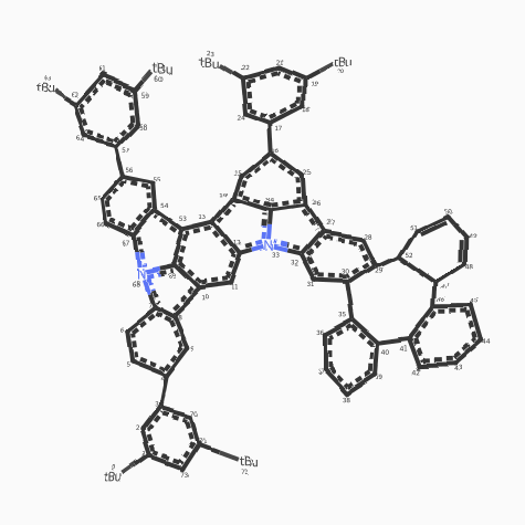 CC(C)(C)c1cc(-c2ccc3c(c2)c2cc4c(c5cc(-c6cc(C(C)(C)C)cc(C(C)(C)C)c6)cc6c7cc8c(cc7n4c65)-c4ccccc4-c4ccccc4C4C=CC=CC84)c4c5cc(-c6cc(C(C)(C)C)cc(C(C)(C)C)c6)ccc5n3c24)cc(C(C)(C)C)c1